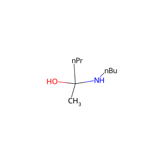 CCCCNC(C)(O)CCC